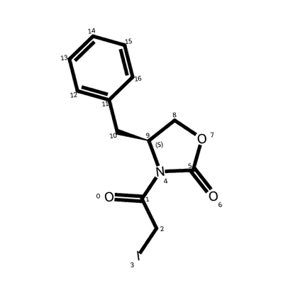 O=C(CI)N1C(=O)OC[C@@H]1Cc1ccccc1